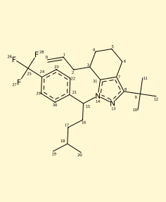 C=CCC1CCCc2c(C(C)(C)C)nn(C(CCC(C)C)c3ccc(C(F)(F)F)cc3)c21